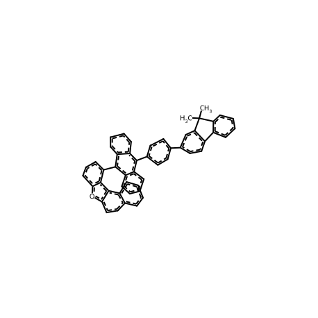 CC1(C)c2ccccc2-c2ccc(-c3ccc(-c4c5ccccc5c(-c5cccc6oc7ccc8ccccc8c7c56)c5ccccc45)cc3)cc21